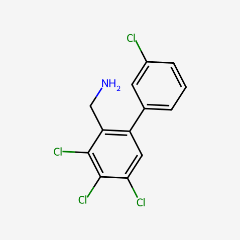 NCc1c(-c2cccc(Cl)c2)cc(Cl)c(Cl)c1Cl